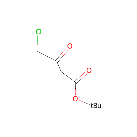 CC(C)(C)OC(=O)CC(=O)CCl